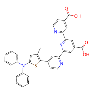 Cc1cc(N(c2ccccc2)c2ccccc2)sc1-c1ccnc(-c2cc(C(=O)O)cc(-c3cc(C(=O)O)ccn3)n2)c1